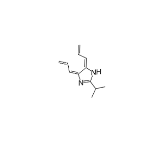 C=C/C=c1/nc(C(C)C)[nH]/c1=C/C=C